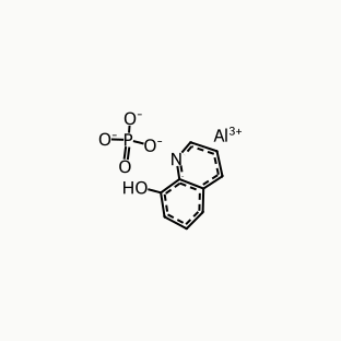 O=P([O-])([O-])[O-].Oc1cccc2cccnc12.[Al+3]